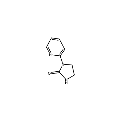 O=C1NCCN1c1cc[c]cn1